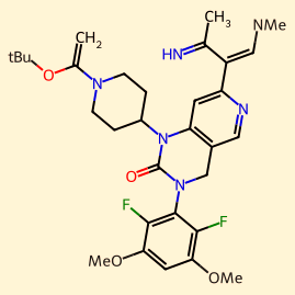 C=C(OC(C)(C)C)N1CCC(N2C(=O)N(c3c(F)c(OC)cc(OC)c3F)Cc3cnc(/C(=C/NC)C(C)=N)cc32)CC1